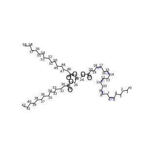 CCCCC/C=C\C/C=C\C/C=C\C/C=C\C/C=C\CCC(=O)OC[C@H](COC(=O)CCCCCCCCCCCCC)OC(=O)CCCCCCCCCCCCCC